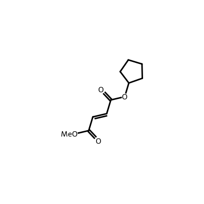 COC(=O)C=CC(=O)OC1CCCC1